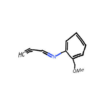 C#C/C=N/c1ccccc1OC